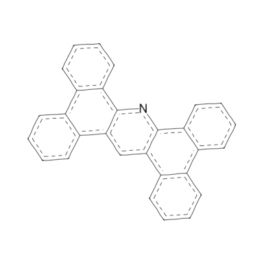 c1ccc2c(c1)c1ccccc1c1nc3c4ccccc4c4ccccc4c3cc21